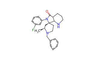 C[C@H]1C[C@]2(CCN1Cc1ccccc1)C1NCCCC1C(=O)N2c1cccc(F)c1